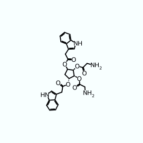 NCC(=O)O[C@@H]1[C@H](OC(=O)CN)C(OC(=O)Cc2c[nH]c3ccccc23)C[C@H]1OC(=O)Cc1c[nH]c2ccccc12